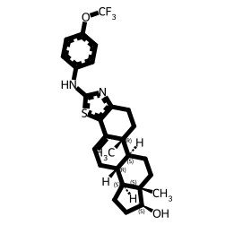 C[C@]12CC[C@H]3[C@@H](CC=C4c5sc(Nc6ccc(OC(F)(F)F)cc6)nc5CC[C@@]43C)[C@@H]1CC[C@@H]2O